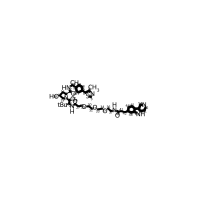 Cc1ncsc1-c1ccc([C@H](C)NC(=O)[C@@H]2C[C@@H](O)CN2C(=O)[C@@H](NC(=O)CCOCCOCCOCCNC(=O)CCc2ccc3c(c2)[nH]c2ccncc23)C(C)(C)C)cc1